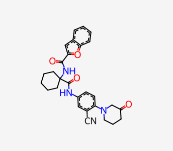 N#Cc1cc(NC(=O)C2(NC(=O)c3cc4ccccc4o3)CCCCC2)ccc1N1CCCC(=O)C1